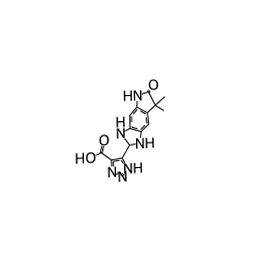 CC1(C)C(=O)Nc2cc3c(cc21)NC(c1[nH]nnc1C(=O)O)N3